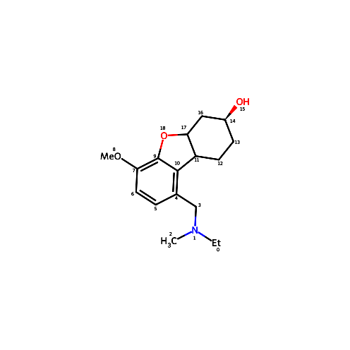 CCN(C)Cc1ccc(OC)c2c1C1CC[C@H](O)CC1O2